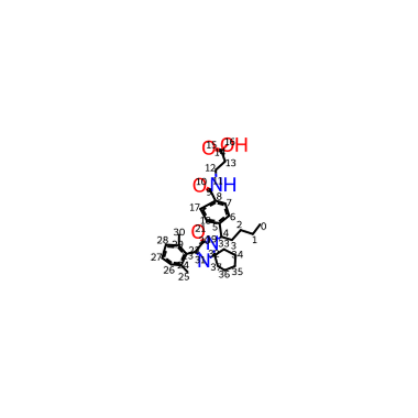 CCCCC(c1ccc(C(=O)NCCC(=O)O)cc1)N1C(=O)C(c2c(C)cccc2C)=NC12CCCCC2